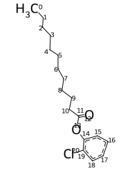 CCCCCCCCCCCC(=O)Oc1ccccc1Cl